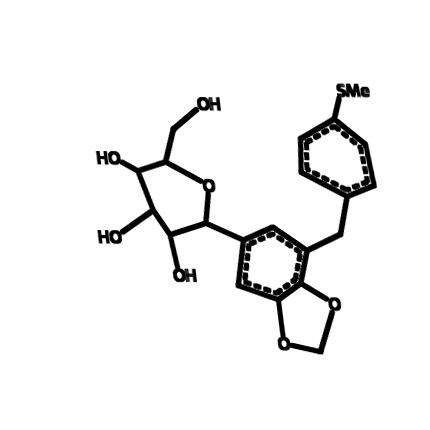 CSc1ccc(Cc2cc(C3OC(CO)C(O)C(O)C3O)cc3c2OCO3)cc1